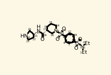 CCN(CC)S(=O)(=O)c1ccc(S(=O)(=O)N2CCC[C@@H](C(=O)N[C@@H]3CCNC3)C2)cc1